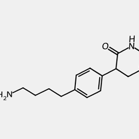 NCCCCc1ccc(C2CC=NNC2=O)cc1